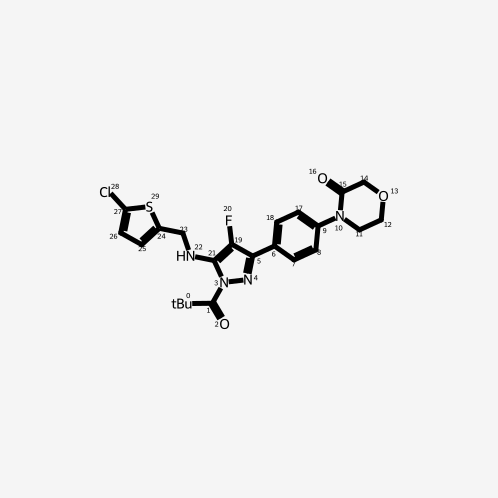 CC(C)(C)C(=O)n1nc(-c2ccc(N3CCOCC3=O)cc2)c(F)c1NCc1ccc(Cl)s1